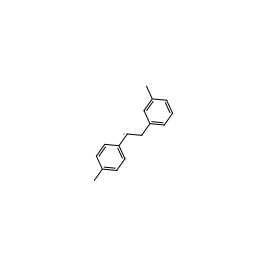 Cc1ccc([CH]Cc2cccc(C)c2)cc1